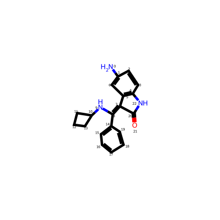 Nc1ccc2c(c1)C(=C(NC1CCC1)c1ccccc1)C(=O)N2